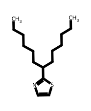 CCCCCCC(CCCCCC)c1nccs1